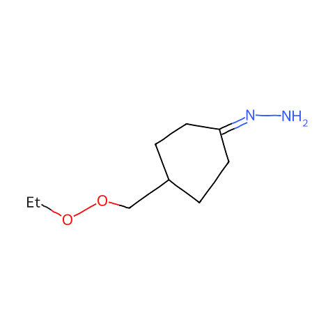 CCOOCC1CCC(=NN)CC1